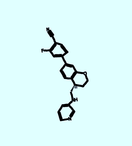 N#Cc1ccc(-c2ccc3c(c2)OCC[C@@H]3CNc2cccnc2)cc1F